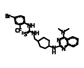 CN(C)c1nc(NC2CCC(CNC(=S)Nc3ccc(Br)cc3C(F)(F)F)CC2)nc2ccccc12